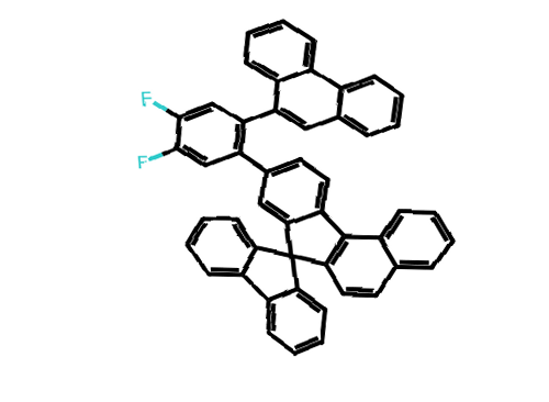 Fc1cc(-c2ccc3c(c2)C2(c4ccccc4-c4ccccc42)c2ccc4ccccc4c2-3)c(-c2cc3ccccc3c3ccccc23)cc1F